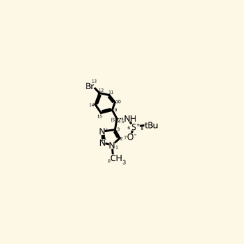 Cn1cc([C@@H](N[S+]([O-])C(C)(C)C)c2ccc(Br)cc2)nn1